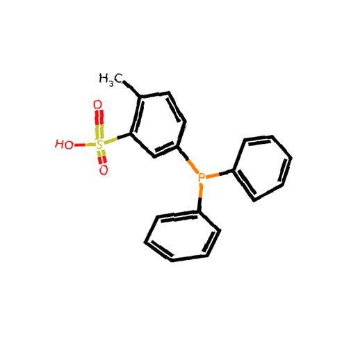 Cc1ccc(P(c2ccccc2)c2ccccc2)cc1S(=O)(=O)O